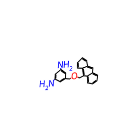 Nc1cc(N)cc(COCc2c3ccccc3cc3ccccc23)c1